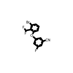 N#Cc1cc(F)cc(Oc2cccc(Br)c2C(F)F)c1